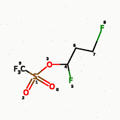 O=S(=O)(OC(F)CCF)C(F)(F)F